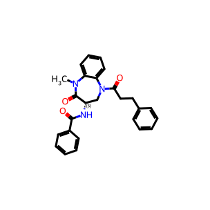 CN1C(=O)[C@@H](NC(=O)c2ccccc2)CN(C(=O)CCc2ccccc2)c2ccccc21